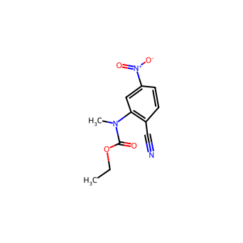 CCOC(=O)N(C)c1cc([N+](=O)[O-])ccc1C#N